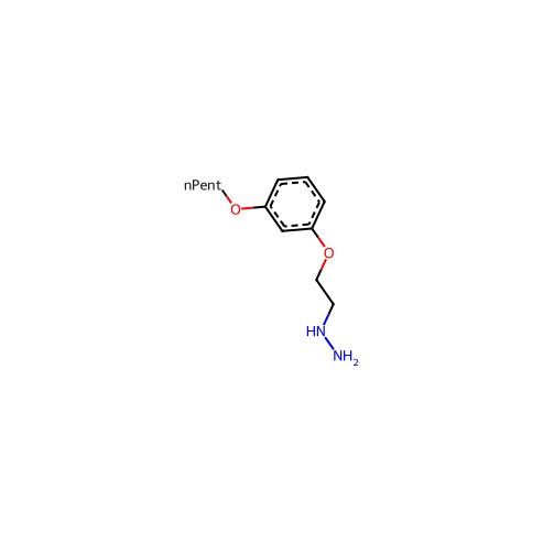 CCCCCOc1cccc(OCCNN)c1